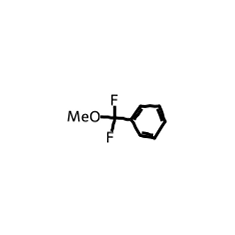 COC(F)(F)c1ccccc1